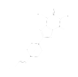 CCCn1c(=O)c2[nH]c(C34CCC(/C=C/C(=O)O)(CC3)OC4)nc2n(CCC)c1=O